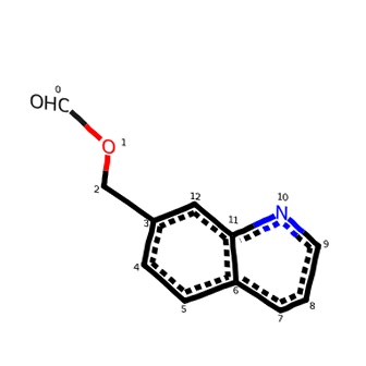 O=COCc1ccc2cccnc2c1